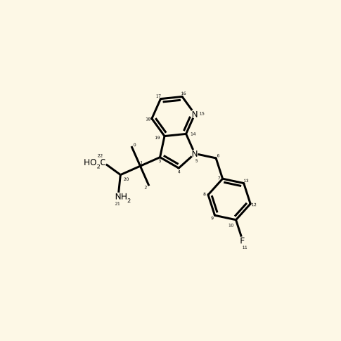 CC(C)(c1cn(Cc2ccc(F)cc2)c2ncccc12)C(N)C(=O)O